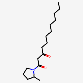 CCCCCCCCCC(=O)CC(=O)N1CCCC1C